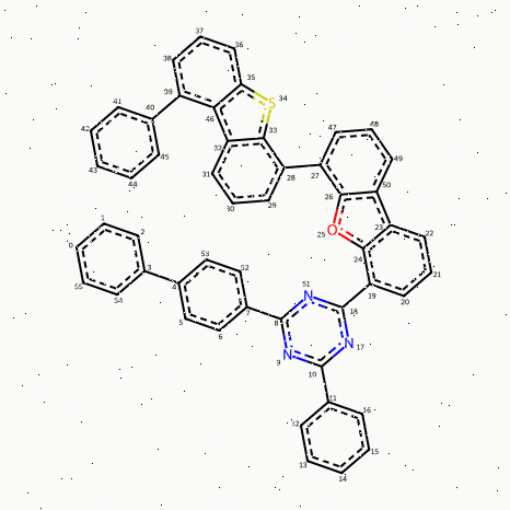 c1ccc(-c2ccc(-c3nc(-c4ccccc4)nc(-c4cccc5c4oc4c(-c6cccc7c6sc6cccc(-c8ccccc8)c67)cccc45)n3)cc2)cc1